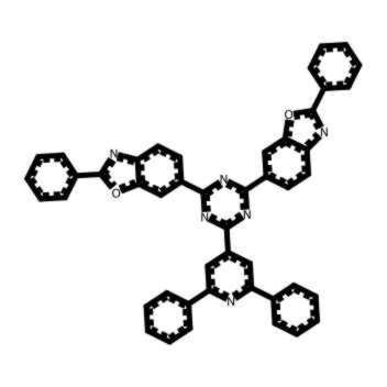 c1ccc(-c2cc(-c3nc(-c4ccc5nc(-c6ccccc6)oc5c4)nc(-c4ccc5nc(-c6ccccc6)oc5c4)n3)cc(-c3ccccc3)n2)cc1